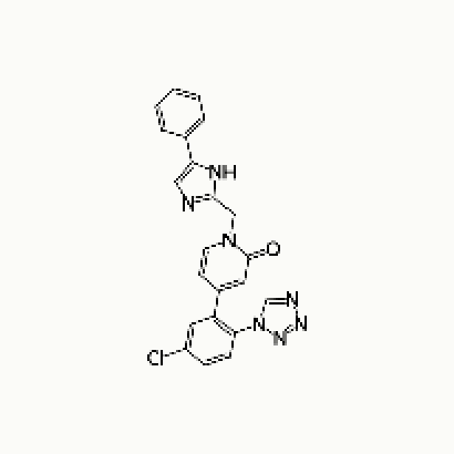 O=c1cc(-c2cc(Cl)ccc2-n2cnnn2)ccn1Cc1ncc(-c2ccccc2)[nH]1